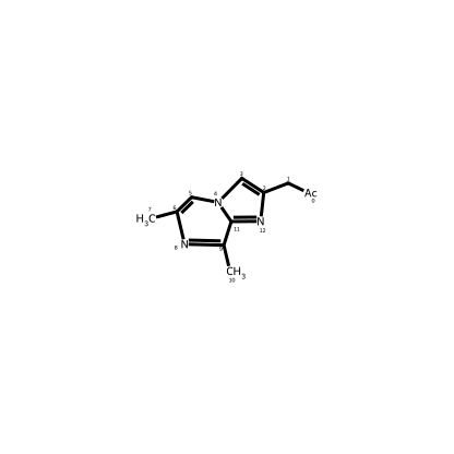 CC(=O)Cc1cn2cc(C)nc(C)c2n1